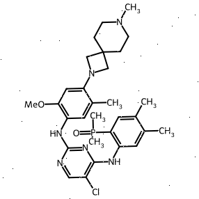 COc1cc(N2CC3(CCN(C)CC3)C2)c(C)cc1Nc1ncc(Cl)c(Nc2cc(C)c(C)cc2P(C)(C)=O)n1